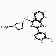 O=C(O)N1CC[C@@H](Nc2nc(-c3ccnc(Cl)c3)nc3cnccc23)C1